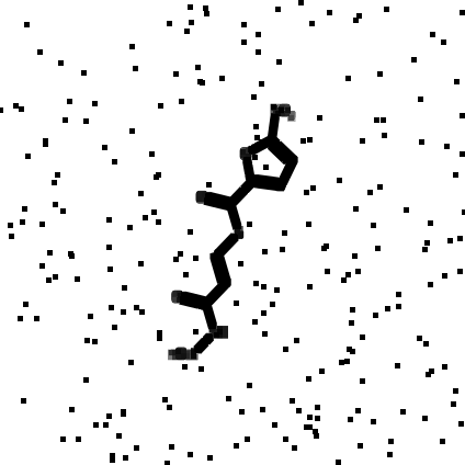 CCCCCCCCNC(=O)C=CSC(=O)c1ccc([N+](=O)[O-])o1